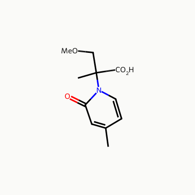 COCC(C)(C(=O)O)n1ccc(C)cc1=O